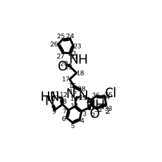 NC(=O)c1cccc(-c2cn[nH]c2)c1-c1nc(CCC(=O)Nc2ccccc2)cn1-c1cccc(Cl)c1